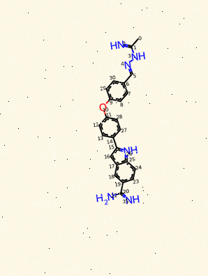 CC(=N)N/N=C/c1ccc(Oc2ccc(-c3cc4cc(C(=N)N)ccc4[nH]3)cc2)cc1